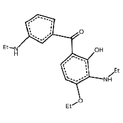 CCNc1cccc(C(=O)c2ccc(OCC)c(NCC)c2O)c1